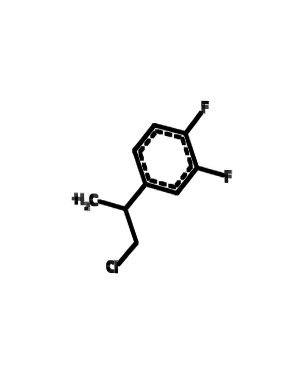 [CH2]C(CCl)c1ccc(F)c(F)c1